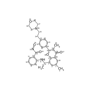 Cc1cc(C(C)Nc2ccccc2C(=O)N=O)c2oc(-c3ccc(CCN4CCOCC4)cc3)c(C)c(=O)c2c1